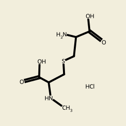 CNC(CSCC(N)C(=O)O)C(=O)O.Cl